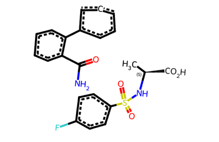 C[C@H](NS(=O)(=O)c1ccc(F)cc1)C(=O)O.NC(=O)c1ccccc1-c1ccccc1